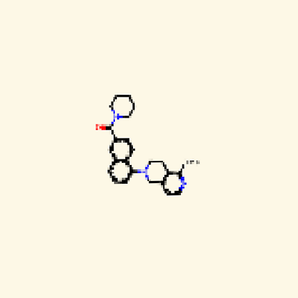 COc1nccc2c1CCN(c1cccc3cc(C(=O)N4CCCCC4)ccc13)C2